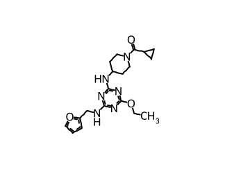 CCOc1nc(NCc2ccco2)nc(NC2CCN(C(=O)C3CC3)CC2)n1